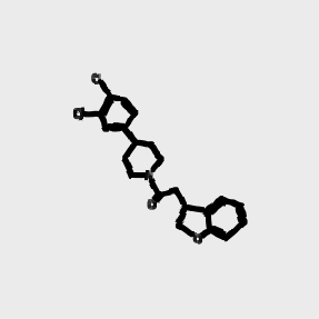 O=C(CC1COc2ccccc21)N1CCC(c2ccc(Cl)c(Cl)c2)CC1